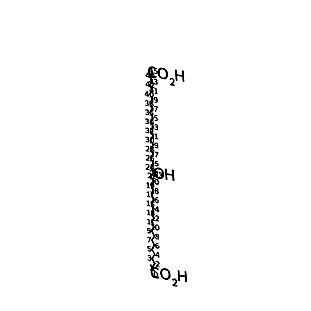 O=C(O)CCCCCCCCCCCCCCCCCCCCCC(O)CCCCCCCCCCCCCCCCCCCCCC(=O)O